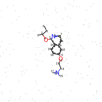 CCC(C)Oc1nccc2cc(OCCN(C)C)ccc12